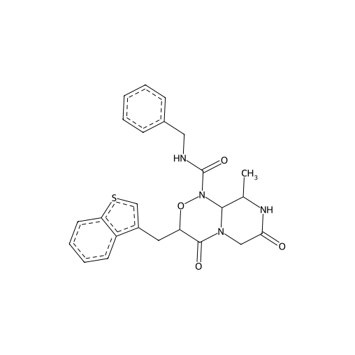 CC1NC(=O)CN2C(=O)C(Cc3csc4ccccc34)ON(C(=O)NCc3ccccc3)C12